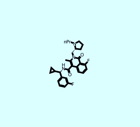 CCCN1CCC[C@@H]1Cn1c(C)c(C(=O)N[C@H](c2cccc(F)c2)C2CC2)c2cccc(F)c2c1=O